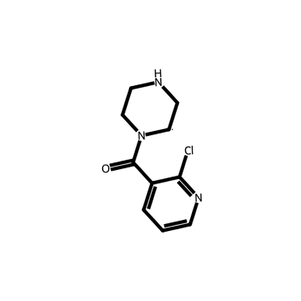 O=C(c1cccnc1Cl)N1[CH]CNCC1